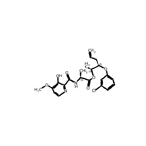 C=CC[C@@H](Oc1cccc(Cl)c1)[C@H](C)OC(=O)[C@H](C)NC(=O)c1nccc(OC)c1O